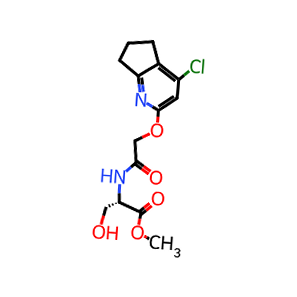 COC(=O)[C@H](CO)NC(=O)COc1cc(Cl)c2c(n1)CCC2